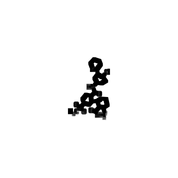 CS(=O)(=O)c1ccc(C(=O)Nc2ccc(Cl)c(-c3ccccn3)c2)c(-c2cccc(F)c2C(N)=O)c1